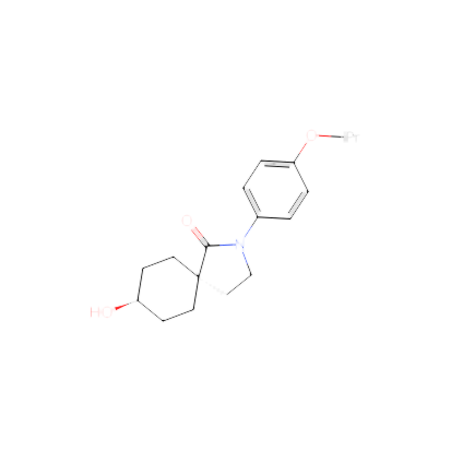 CC(C)Oc1ccc(N2CC[C@]3(CC[C@H](O)CC3)C2=O)cc1